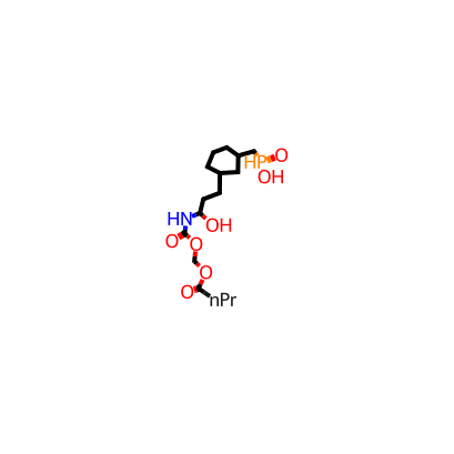 CCCC(=O)OCOC(=O)NC(O)CCC1CCCC(C[PH](=O)O)C1